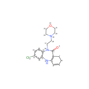 O=C1C2=C(C=CCC2)Nc2cc(Cl)ccc2N1CCN1CCOCC1